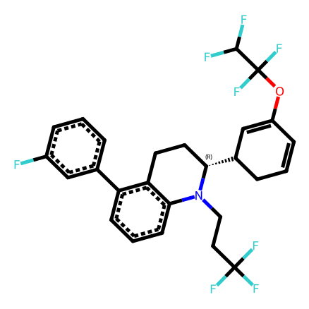 Fc1cccc(-c2cccc3c2CC[C@H](C2C=C(OC(F)(F)C(F)F)C=CC2)N3CCC(F)(F)F)c1